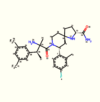 Cc1cc(F)ccc1[C@H]1C[C@]2(CC[C@H](C(N)=O)N2)CCN1C(=O)C(C)(N)[C@@H](C)c1cc(C(F)(F)F)cc(C(F)(F)F)c1